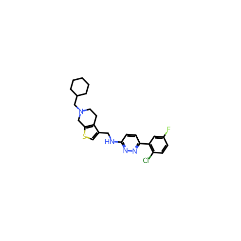 Fc1ccc(Cl)c(-c2ccc(NCc3csc4c3CCN(CC3CCCCC3)C4)nn2)c1